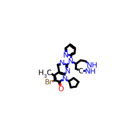 Cc1c(Br)c(=O)n(C2CCCC2)c2nc(N(c3ccccn3)C3CCNNCC3)ncc12